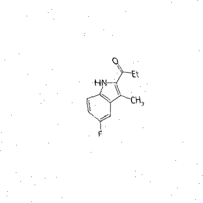 CCC(=O)c1[nH]c2ccc(F)cc2c1C